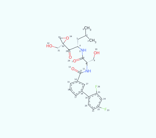 CC(C)C[C@H](NC(=O)[C@H](CO)NC(=O)c1cccc(-c2ccc(F)cc2F)c1)C(=O)[C@@]1(CO)CO1